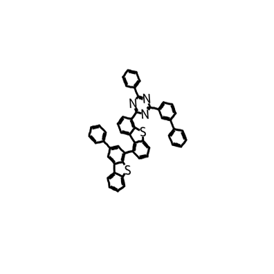 c1ccc(-c2cccc(-c3nc(-c4ccccc4)nc(-c4cccc5c4sc4cccc(-c6cc(-c7ccccc7)cc7c6sc6ccccc67)c45)n3)c2)cc1